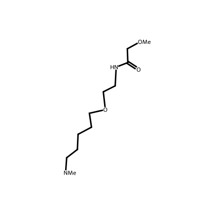 CNCCCCCOCCNC(=O)COC